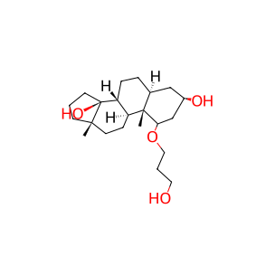 C[C@]12C(OCCCO)C[C@H](O)C[C@@H]1CC[C@@H]1[C@@H]2CC[C@]2(C)CCC[C@]12O